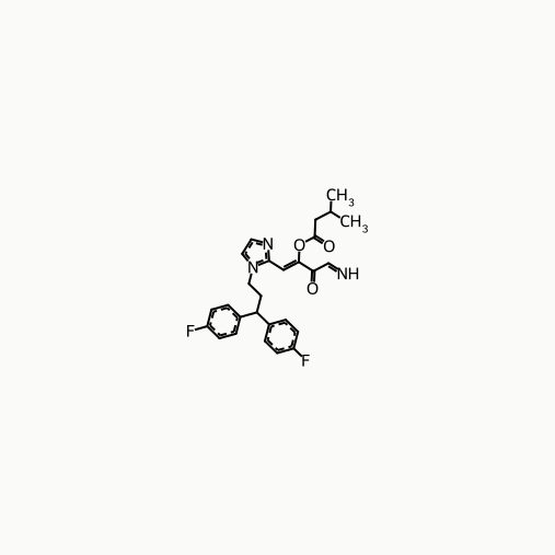 CC(C)CC(=O)O/C(=C\c1nccn1CCC(c1ccc(F)cc1)c1ccc(F)cc1)C(=O)C=N